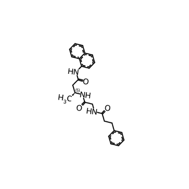 C[C@@H](CC(=O)Nc1cccc2ccccc12)NC(=O)CNC(=O)CCc1ccccc1